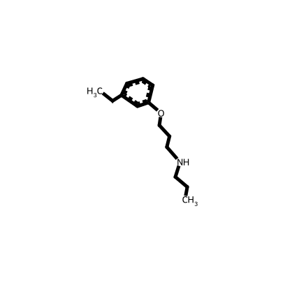 C[CH]c1cccc(OCCCNCCC)c1